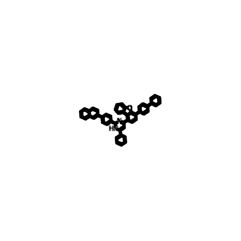 C1=C(c2ccccc2)NC(c2ccc(-c3ccc4ccccc4c3)cc2)N=C1c1ccc(-c2ccc(-c3ccccc3)cc2)c2oc3ccccc3c12